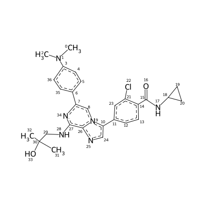 CN(C)c1ccc(-c2cn3c(-c4ccc(C(=O)NC5CC5)c(Cl)c4)cnc3c(NCC(C)(C)O)n2)cc1